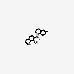 Cc1ccc2c(c1)CCCN2C(=O)c1ccc2cccnc2c1O